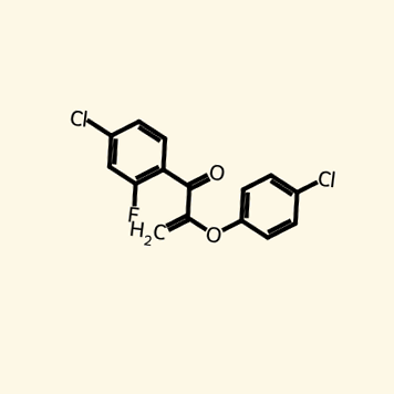 C=C(Oc1ccc(Cl)cc1)C(=O)c1ccc(Cl)cc1F